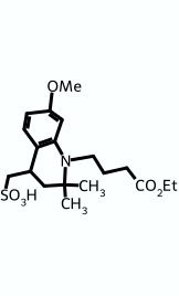 CCOC(=O)CCCN1c2cc(OC)ccc2C(CS(=O)(=O)O)CC1(C)C